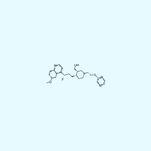 COc1ccc2nccc([C@@H](F)CC[C@@H]3CCN(CCSc4cnccn4)C[C@@H]3CO)c2c1